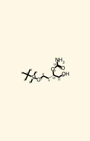 CC(C)(C)[Si](C)(C)OCC[C@@H](CO)OC(N)=O